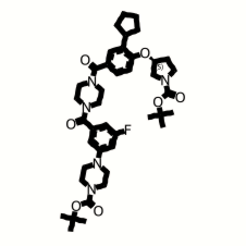 CC(C)(C)OC(=O)N1CCN(c2cc(F)cc(C(=O)N3CCN(C(=O)c4ccc(O[C@H]5CCN(C(=O)OC(C)(C)C)C5)c(C5CCCC5)c4)CC3)c2)CC1